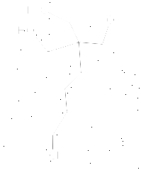 CCCCCC(CC)(CO)CO